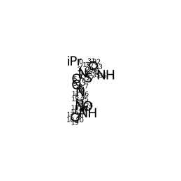 CC(C)CCN1C(=O)C(CC(=O)N2CCC(N3Cc4ccccc4NC3=O)CC2)SC1c1ccccc1C=N